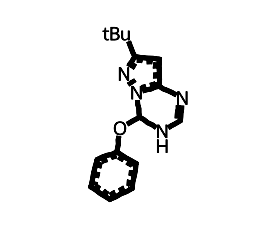 CC(C)(C)c1cc2n(n1)C(Oc1ccccc1)NC=N2